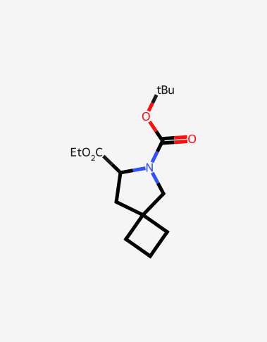 CCOC(=O)C1CC2(CCC2)CN1C(=O)OC(C)(C)C